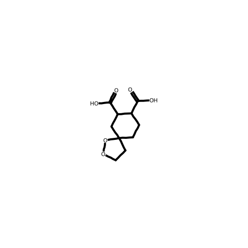 O=C(O)C1CCC2(CCOO2)CC1C(=O)O